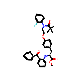 COC(=O)[C@H](Cc1ccc(OCCN(C(=O)C(C)(C)C)c2ccccc2F)cc1)Nc1ccccc1C(=O)c1ccccc1